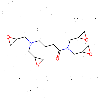 O=C(CCCN(CC1CO1)CC1CO1)N(CC1CO1)CC1CO1